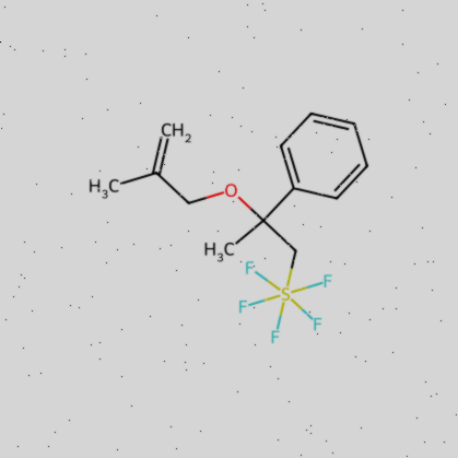 C=C(C)COC(C)(CS(F)(F)(F)(F)F)c1ccccc1